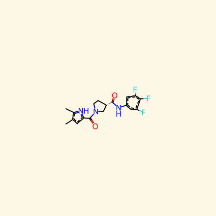 Cc1cc(C(=O)N2CC[C@H](C(=O)Nc3cc(F)c(F)c(F)c3)C2)[nH]c1C